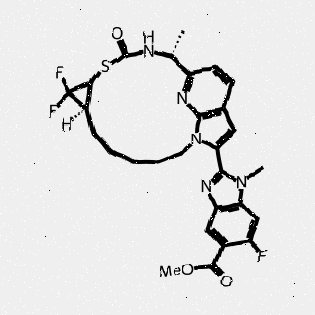 COC(=O)c1cc2nc(-c3cc4ccc5nc4n3CCCCC[C@@H]3C(SC(=O)N[C@@H]5C)C3(F)F)n(C)c2cc1F